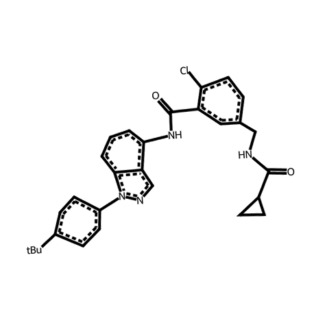 CC(C)(C)c1ccc(-n2ncc3c(NC(=O)c4cc(CNC(=O)C5CC5)ccc4Cl)cccc32)cc1